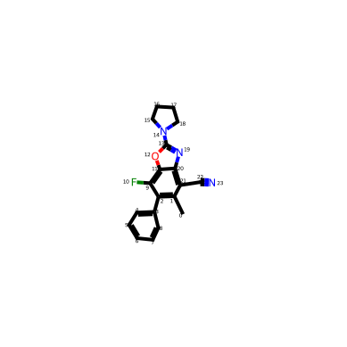 Cc1c(-c2ccccc2)c(F)c2oc(N3CCCC3)nc2c1C#N